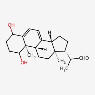 CC(C=O)[C@H]1CC[C@H]2C3=CC=C4C(O)CCC(O)[C@]4(C)[C@H]3CC[C@]12C